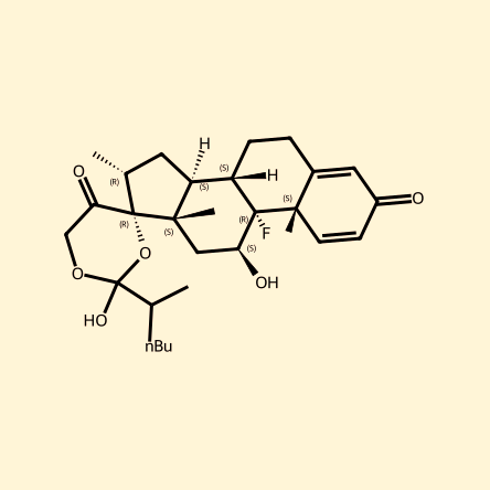 CCCCC(C)C1(O)OCC(=O)[C@@]2(O1)[C@H](C)C[C@H]1[C@@H]3CCC4=CC(=O)C=C[C@]4(C)[C@@]3(F)[C@@H](O)C[C@@]12C